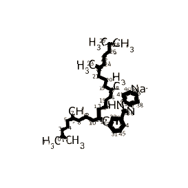 CC(C)CCCC(C)CCCC(C)CCCCC(C)CCCC(C)CCCC(C)C.[Na].c1ccc(-c2nc3ccccc3[nH]2)cc1